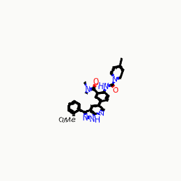 COc1ccccc1-c1n[nH]c2ncc(-c3ccc(NC(=O)N4CCC(C)CC4)c(C(=O)N(C)C)c3)cc12